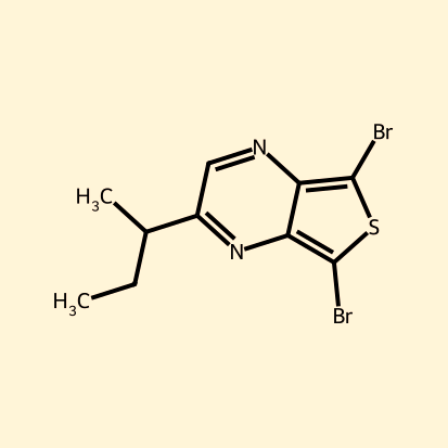 CCC(C)c1cnc2c(Br)sc(Br)c2n1